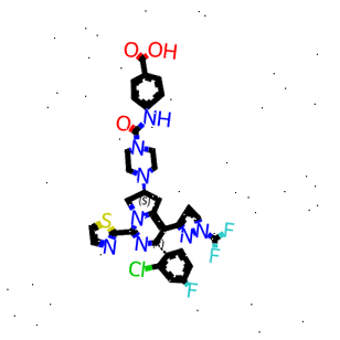 O=C(O)c1ccc(NC(=O)N2CCN([C@H]3CC4=C(c5ccn(C(F)F)n5)[C@H](c5ccc(F)cc5Cl)N=C(c5nccs5)N4C3)CC2)cc1